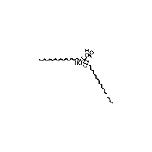 CCC(=O)O.CCCCCCCCCCCCCCCCCCSC(C)(SCCCCCCCCCCCCCCCC)C(=O)O